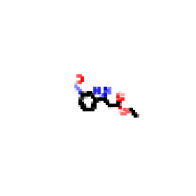 CCOC(=O)CC(N)c1cccc(N=O)c1